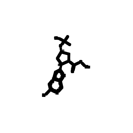 CC(C)(C)OC(=O)N1C[C@@H](O[Si](C)(C)C(C)(C)C)C[C@@H]1c1cn2cc(Br)ncc2n1